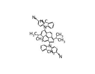 Cc1ccccc1N(c1ccc(C#N)cc1)c1cc(C(C)C)c2ccc3c(N(c4ccc(C#N)cc4)c4ccccc4C)cc(C(C)C)c4ccc1c2c43